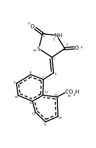 O=C1NC(=O)/C(=C/c2cccc3cccc(C(=O)O)c23)S1